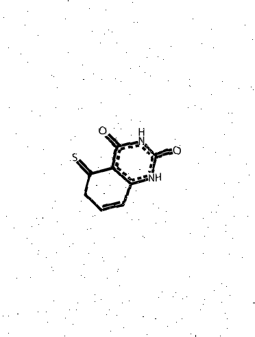 O=c1[nH]c2c(c(=O)[nH]1)C(=S)CC=C2